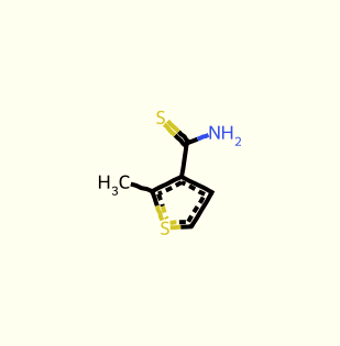 Cc1sccc1C(N)=S